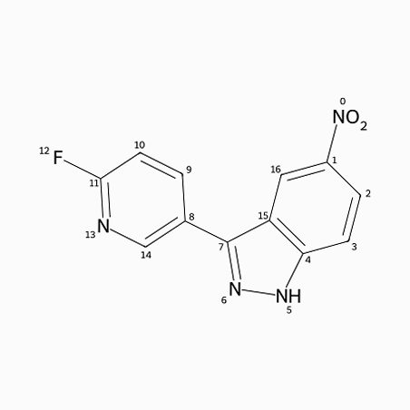 O=[N+]([O-])c1ccc2[nH]nc(-c3ccc(F)nc3)c2c1